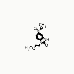 COCCn1c(=O)[nH]c2cc([N+](=O)OC)ccc21